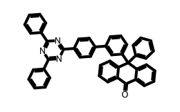 O=C1c2ccccc2C(c2ccccc2)(c2cccc(-c3ccc(-c4nc(-c5ccccc5)nc(-c5ccccc5)n4)cc3)c2)c2ccccc21